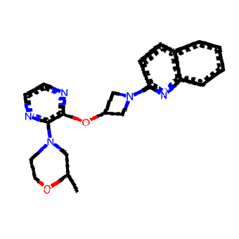 CC1CN(c2nccnc2OC2CN(c3ccc4ccccc4n3)C2)CCO1